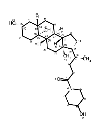 C[C@H](CCC(=O)N1CCC(O)CC1)[C@H]1CC[C@H]2[C@@H]3CC[C@H]4C[C@@H](O)CC[C@]4(C)[C@H]3CC[C@]12C